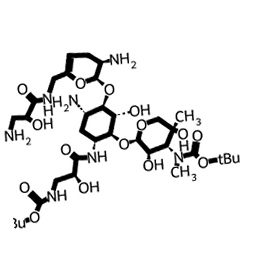 CN(C(=O)OC(C)(C)C)[C@@H]1[C@@H](O)[C@@H](O[C@@H]2[C@@H](O)[C@H](O[C@H]3OC(CNC(=O)C(O)CN)=CC[C@H]3N)[C@@H](N)C[C@H]2NC(=O)[C@@H](O)CNC(=O)OC(C)(C)C)OC[C@]1(C)O